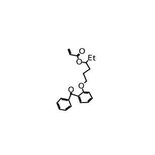 C=CC(=O)OC(CC)CCCOc1ccccc1C(=O)c1ccccc1